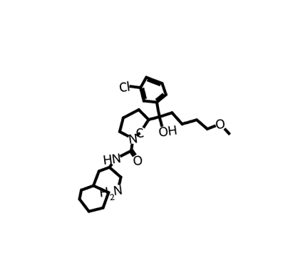 COCCCCC(O)(c1cccc(Cl)c1)C1CCCN(C(=O)NC(CN)CC2CCCCC2)C1